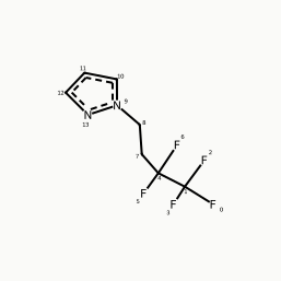 FC(F)(F)C(F)(F)CCn1cccn1